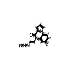 [N-]=[N+]=NCCn1c(=O)c2cccn2c2ccc(F)cc21